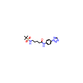 CC(C)(C)S(=O)(=O)NCCCCC(=O)Nc1ccc(-n2ncnn2)cc1